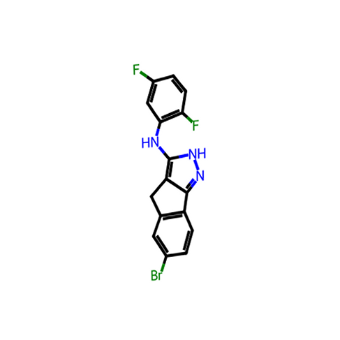 Fc1ccc(F)c(Nc2[nH]nc3c2Cc2cc(Br)ccc2-3)c1